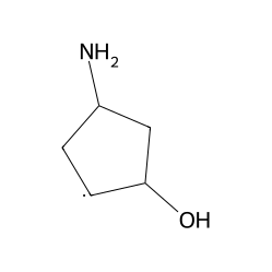 NC1C[CH]C(O)C1